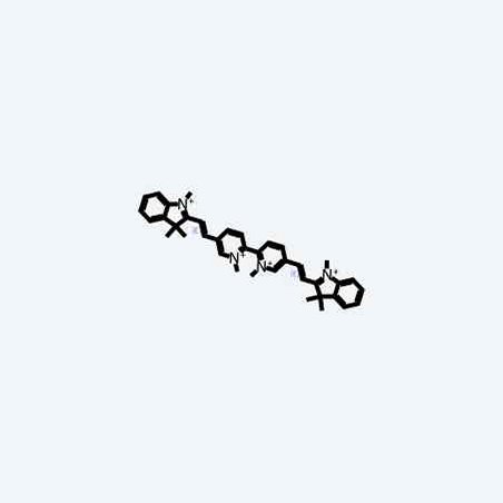 C[N+]1=C(/C=C/c2ccc(-c3ccc(/C=C/C4=[N+](C)c5ccccc5C4(C)C)c[n+]3C)[n+](C)c2)C(C)(C)c2ccccc21